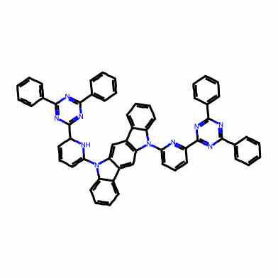 C1=CC(c2nc(-c3ccccc3)nc(-c3ccccc3)n2)NC(n2c3ccccc3c3cc4c(cc32)c2ccccc2n4-c2cccc(-c3nc(-c4ccccc4)nc(-c4ccccc4)n3)n2)=C1